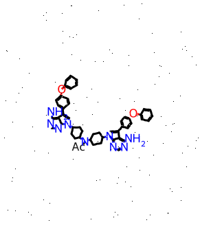 CC(=O)N(C1CCC(n2cc(-c3ccc(Oc4ccccc4)cc3)c3c(N)ncnc32)CC1)C1CCC(n2cc(-c3ccc(Oc4ccccc4)cc3)c3c(N)ncnc32)CC1